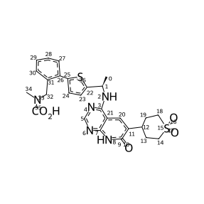 C[C@@H](Nc1ncnc2[nH]c(=O)c(C3CCS(=O)(=O)CC3)cc12)c1ccc(-c2ccccc2CN(C)C(=O)O)s1